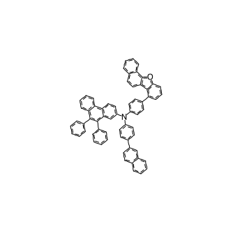 c1ccc(-c2c(-c3ccccc3)c3cc(N(c4ccc(-c5ccc6ccccc6c5)cc4)c4ccc(-c5cccc6oc7c8ccccc8ccc7c56)cc4)ccc3c3ccccc23)cc1